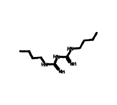 CCCCNC(=N)NC(=N)NCCCC